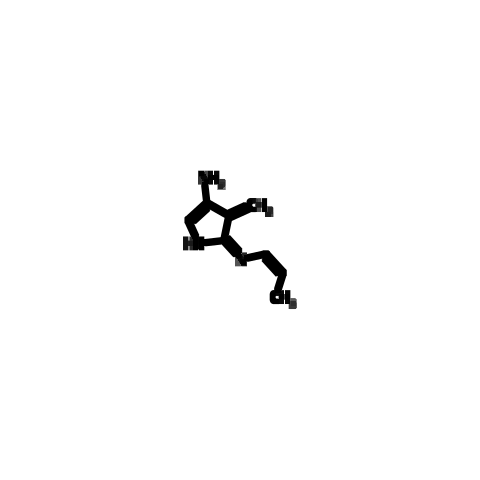 C=C1C(N)=CN/C1=N/C=C\C